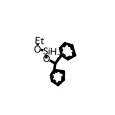 CCO[SiH2]OC(c1ccccc1)c1ccccc1